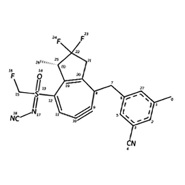 Cc1cc(C#N)cc(CC2C#CC=C(S(=O)(CF)=NC#N)C3=C2CC(F)(F)[C@H]3C)c1